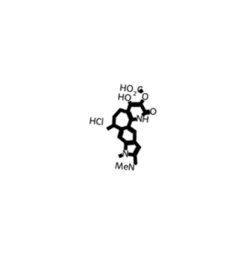 CNCc1cc2cc3c(cc2n1C)C(C)CCc1c-3[nH]c(=O)c(OC(=O)O)c1O.Cl